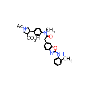 CC(=O)N1CC(C(=O)O)C(c2ccc(N(C)C(=O)Cc3ccc4nc(Nc5ccccc5C)oc4c3)cc2)C1